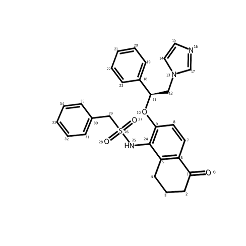 O=C1CCCc2c1ccc(O[C@H](Cn1ccnc1)c1ccccc1)c2NS(=O)(=O)Cc1ccccc1